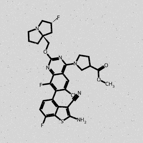 COC(=O)C1CCN(c2nc(OC[C@@]34CCCN3C[C@H](F)C4)nc3c(F)c(-c4ccc(F)c5sc(N)c(C#N)c45)c(Cl)cc23)C1